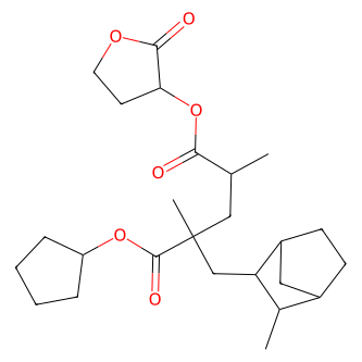 CC(CC(C)(CC1C2CCC(C2)C1C)C(=O)OC1CCCC1)C(=O)OC1CCOC1=O